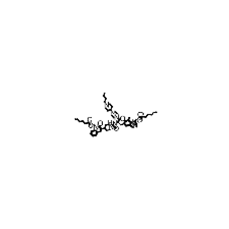 CCCCCC(=O)OCn1ncc2cc(C[C@@H](NC(=O)N3CCC(c4cc5ccccc5n(COC(=O)CCCCC)c4=O)CC3)C(=O)N3CCN(C4CCN(CCCC)CC4)CC3)cc(C)c21